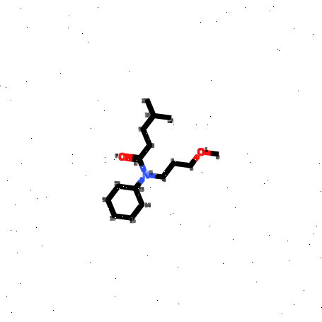 COCCCN(C(=O)CCC(C)C)C1CCCCC1